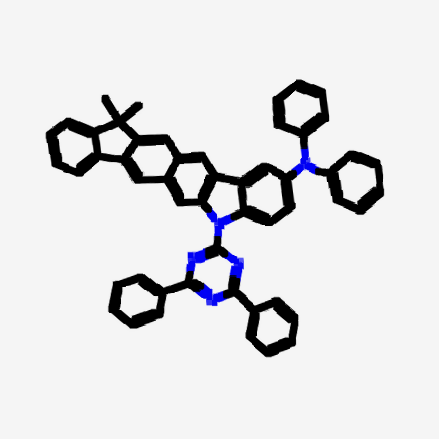 CC1(C)c2ccccc2-c2cc3cc4c(cc3cc21)c1cc(N(c2ccccc2)c2ccccc2)ccc1n4-c1nc(-c2ccccc2)nc(-c2ccccc2)n1